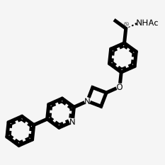 CC(=O)N[C@@H](C)c1ccc(OC2CN(c3ccc(-c4ccccc4)cn3)C2)cc1